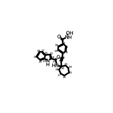 O=C(NO)c1ccc(C#CC2(NC(=O)c3cc4ccccc4[nH]3)CCCCCC2)cc1